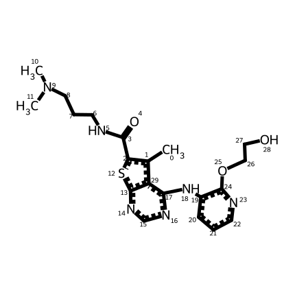 Cc1c(C(=O)NCCCN(C)C)sc2ncnc(Nc3cccnc3OCCO)c12